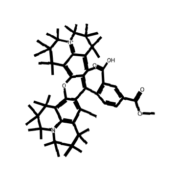 COC(=O)c1ccc(C2=c3c(C)c4c5c(c3Oc3c2c(C)c2c6c3C(C)(C)C(C)(C)C(C)(C)N6C(C)(C)C(C)(C)C2(C)C)C(C)(C)C(C)(C)C(C)(C)[N+]=5C(C)(C)C(C)(C)C4(C)C)c(C(=O)O)c1